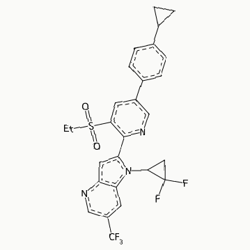 CCS(=O)(=O)c1cc(-c2ccc(C3CC3)cc2)cnc1-c1cc2ncc(C(F)(F)F)cc2n1C1CC1(F)F